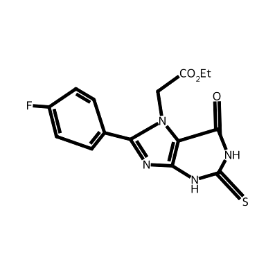 CCOC(=O)Cn1c(-c2ccc(F)cc2)nc2[nH]c(=S)[nH]c(=O)c21